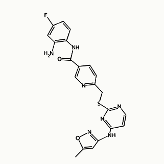 Cc1cc(Nc2ccnc(SCc3ccc(C(=O)Nc4ccc(F)cc4N)cn3)n2)no1